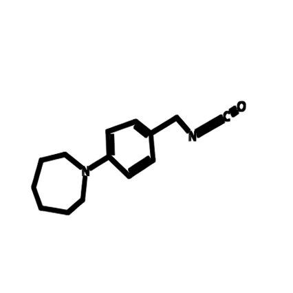 O=C=NCc1ccc(N2CCCCCC2)cc1